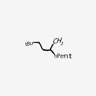 CCCCCC(C)CCC(C)(C)C